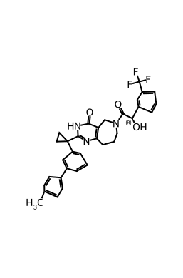 Cc1ccc(-c2cccc(C3(c4nc5c(c(=O)[nH]4)CN(C(=O)[C@H](O)c4cccc(C(F)(F)F)c4)CCC5)CC3)c2)cc1